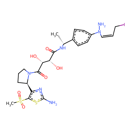 C[C@@H](NC(=O)[C@H](O)[C@@H](O)C(=O)N1CCC[C@@H]1c1nc(N)sc1S(C)(=O)=O)c1ccc(N(N)/C=C\CI)cc1